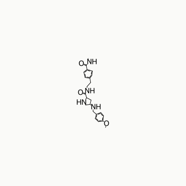 CNC(=O)c1ccc(CCNC(=O)C2CC(NCc3ccc(OC)cc3)CN2)cc1